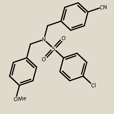 COc1ccc(CN(Cc2ccc(C#N)cc2)S(=O)(=O)c2ccc(Cl)cc2)cc1